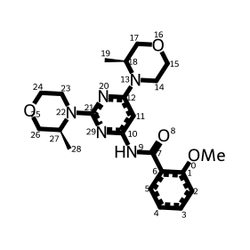 COc1ccccc1C(=O)Nc1cc(N2CCOC[C@@H]2C)nc(N2CCOC[C@@H]2C)n1